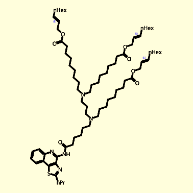 CCCCCC/C=C/COC(=O)CCCCCCCCN(CCCCCCCCC(=O)OC/C=C/CCCCCC)CCCN(CCCCCCCCC(=O)OC/C=C/CCCCCC)CCCCCC(=O)Nc1nc2ccccc2c2sc(CCC)nc12